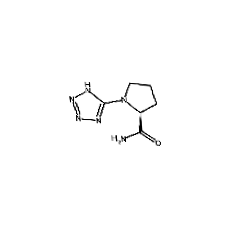 NC(=O)[C@@H]1CCCN1c1nnn[nH]1